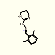 Cc1cccc(C)c1/C=N/NC1=NCCCN1